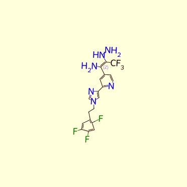 NN/C(=C(\N)c1ccnc(-c2cn(CCc3cc(F)c(F)cc3F)cn2)c1)C(F)(F)F